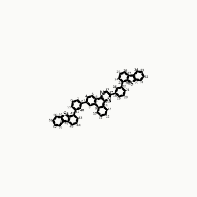 c1cc(-c2ccc3c(c2)c2ccccc2c2nc(-c4cccc(-c5cccc6c5sc5ccccc56)c4)cnc32)cc(-c2cccc3c2sc2ccccc23)c1